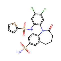 NS(=O)(=O)c1ccc2c(c1)CCCC(=O)N2c1cc(Cl)c(Cl)cc1NS(=O)(=O)c1cccs1